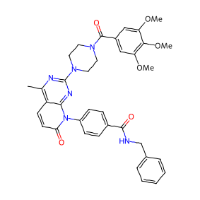 COc1cc(C(=O)N2CCN(c3nc(C)c4ccc(=O)n(-c5ccc(C(=O)NCc6ccccc6)cc5)c4n3)CC2)cc(OC)c1OC